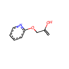 C=C(O)COc1ccccn1